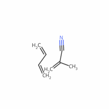 C=C(C)C#N.C=CC=C